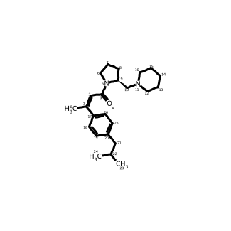 CC(=CC(=O)N1CCC[C@H]1CN1CCCCC1)c1ccc(CC(C)C)cc1